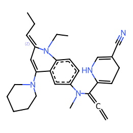 C=C=C(C1=CCC(C#N)=CN1)N(C)c1ccc2c(c1)C(N1CCCCC1)=C/C(=C/CC)N2CC